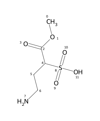 COC(=O)C(CCN)S(=O)(=O)O